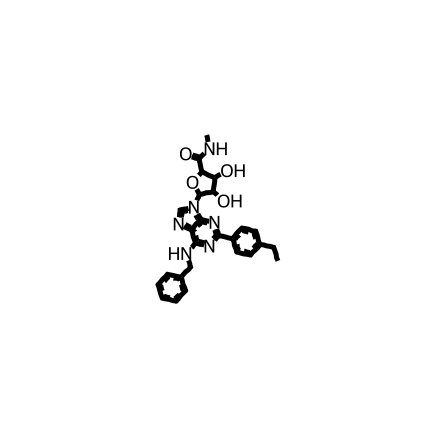 CCc1ccc(-c2nc(NCc3ccccc3)c3ncn(C4OC(C(=O)NC)C(O)C4O)c3n2)cc1